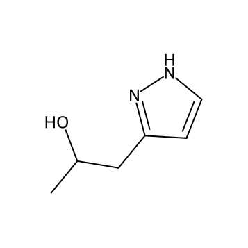 CC(O)Cc1cc[nH]n1